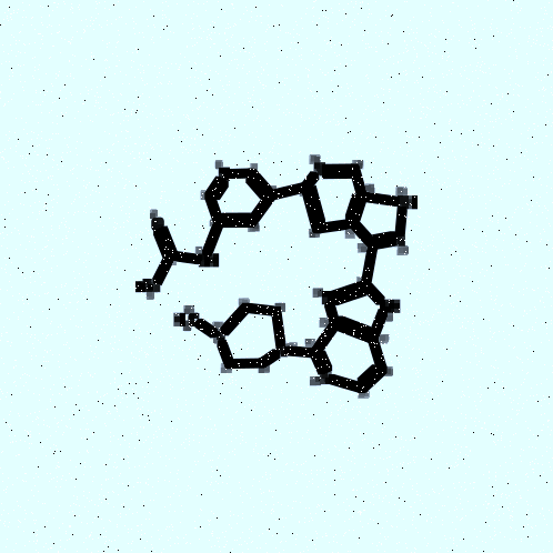 CCCCC(=O)Nc1cncc(-c2cc3c(-c4nc5c(N6CCN(C)CC6)nccc5[nH]4)n[nH]c3cn2)c1